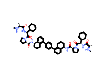 CN[C@@H](C)C(=O)N[C@H](C(=O)N1CCC[C@H]1C(=O)N[C@@H]1CCCc2c(-c3ccc(-c4cccc5c4CCC[C@H]5NC(=O)[C@@H]4CCCN4C(=O)[C@@H](NC(=O)[C@H](C)NC)C4CCCCC4)cc3)cccc21)C1CCCCC1